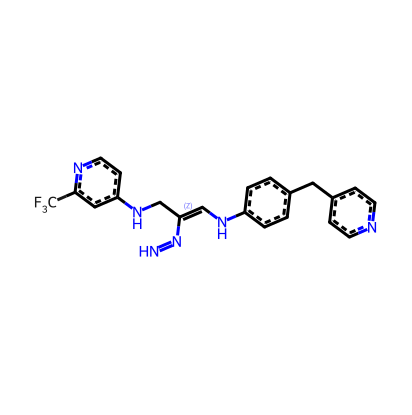 N=N/C(=C\Nc1ccc(Cc2ccncc2)cc1)CNc1ccnc(C(F)(F)F)c1